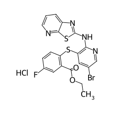 CCOC(=O)c1cc(F)ccc1Sc1cc(Br)cnc1Nc1nc2cccnc2s1.Cl